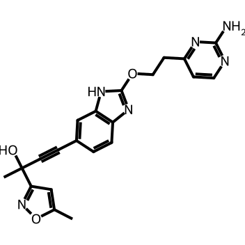 Cc1cc(C(C)(O)C#Cc2ccc3nc(OCCc4ccnc(N)n4)[nH]c3c2)no1